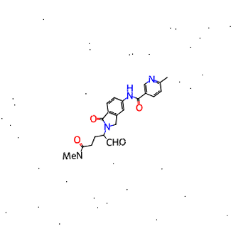 CNC(=O)CCC(C=O)N1Cc2cc(NC(=O)c3ccc(C)nc3)ccc2C1=O